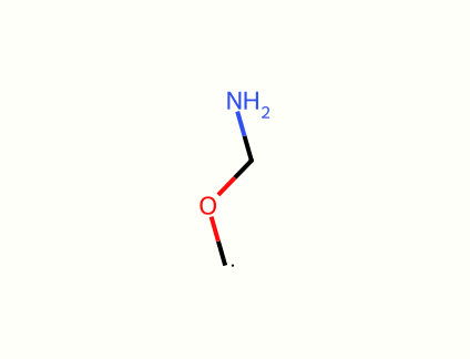 [CH2]OCN